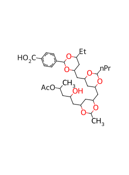 CCCC1OC(CC2CC(CC(O)CC(C)OC(C)=O)OC(C)O2)CC(CC2CC(CC)OC(c3ccc(C(=O)O)cc3)O2)O1